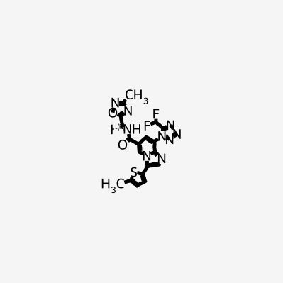 Cc1noc([C@@H](I)NC(=O)c2cc(-n3nnnc3C(F)F)c3ncc(-c4ccc(C)s4)n3c2)n1